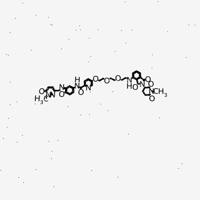 CN1C(=O)CCC(N2C(=O)c3cccc(NCCOCCOCCOc4ccc(C(=O)Nc5ccc6oc(-c7ccc(=O)n(C)n7)nc6c5)nc4)c3C2=O)C1=O